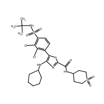 CC(C)(C)NS(=O)(=O)c1ccc(-c2sc(C(=O)NC3CCS(=O)(=O)CC3)nc2NC2CCCCC2)c(Cl)c1Cl